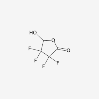 O=C1OC(O)C(F)(F)C1(F)F